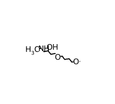 CNCC(O)CCOCCCC[O]